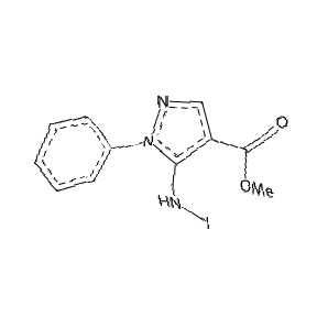 COC(=O)c1cnn(-c2ccccc2)c1NI